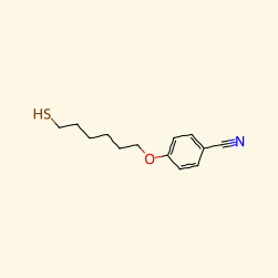 N#Cc1ccc(OCCCCCCS)cc1